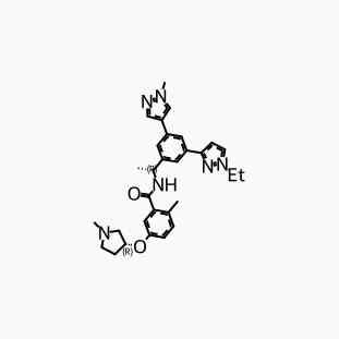 CCn1ccc(-c2cc(-c3cnn(C)c3)cc([C@@H](C)NC(=O)c3cc(O[C@@H]4CCN(C)C4)ccc3C)c2)n1